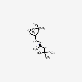 CCC(CC(C)(C)C)O/N=C(\N)CC(C)(C)C